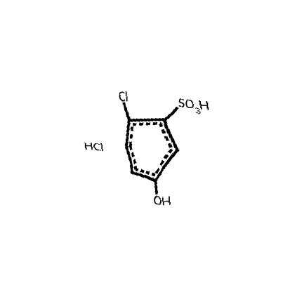 Cl.O=S(=O)(O)c1cc(O)ccc1Cl